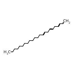 C=CC=CCC=CCC=CCCCCCCCCCCCCC